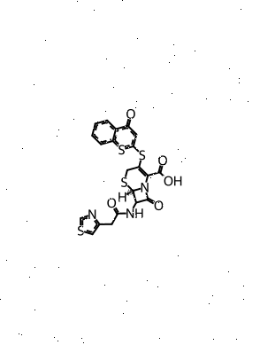 O=C(Cc1cscn1)NC1C(=O)N2C(C(=O)O)=C(Sc3cc(=O)c4ccccc4s3)CS[C@@H]12